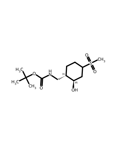 CC(C)(C)OC(=O)NC[C@@H]1CCC(S(C)(=O)=O)C[C@H]1O